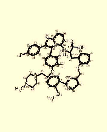 COc1ccccc1-c1nccc(COc2ccccc2CC(Nc2cccc3nc(-c4ccc(F)cc4)c(-c4ccc(OCCN5CCN(C)CC5)c(Cl)c4C)n23)C(=O)O)n1